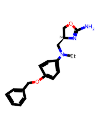 CCN(C[C@H]1COC(N)=N1)c1ccc(OCc2ccccc2)cc1